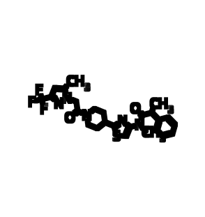 Cc1cc(C(F)(F)F)nn1CC(=O)N1CCC(c2nc(N(C)C(=O)C(C)c3ccccc3)cs2)CC1